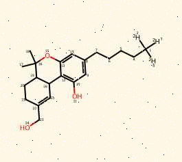 [2H]C([2H])([2H])CCCCc1cc(O)c2c(c1)OC(C)(C)C1CCC(CO)=CC21